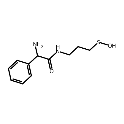 NC(C(=O)NCCCSO)c1ccccc1